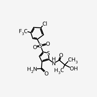 CC(C)(O)C(=O)Nc1sc(S(=O)(=O)c2cc(Cl)cc(C(F)(F)F)c2)cc1C(N)=O